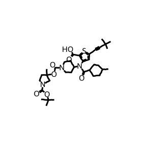 CC1CCC(C(=O)N(c2cc(C#CC(C)(C)C)sc2C(=O)O)C2CCN(C(=O)OC3(C)CCN(C(=O)OC(C)(C)C)C3)CC2)CC1